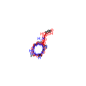 C/C=C/C[C@@H](C)C(OC(=O)OCOC(=O)[C@@H](N)CC(=O)OCC(=O)[C@@]1(O)CCC2C3CCC4=CC(=O)C=C[C@]4(C)C3[C@@H](O)C[C@@]21C)C1C(=O)NC(CC)C(=O)N(C)CC(=O)N(C)[C@@H](CC(C)C)C(=O)NC(C(C)C)C(=O)N(C)C(CC(C)C)C(=O)NC(C)C(=O)NC(C)C(=O)N(C)C(CC(C)C)C(=O)N(C)C(CC(C)C)C(=O)N(C)C(C(C)C)C(=O)N1C